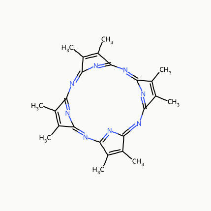 CC1=C(C)/C2=N/C3=NC(=N\C4=NC(=N\C5=NC(=N\C1=N2)/C(C)=C5C)/C(C)=C4C)/C(C)=C3C